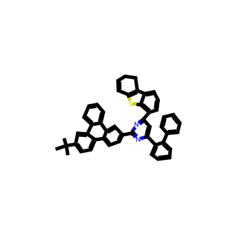 CC(C)(C)c1ccc2c3ccc(-c4nc(-c5ccccc5-c5ccccc5)cc(-c5cccc6c7c(sc56)C=CCC7)n4)cc3c3ccccc3c2c1